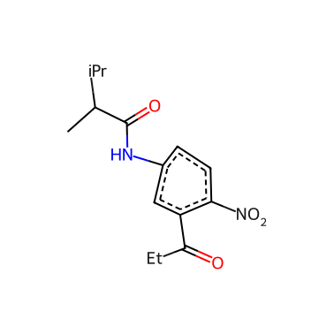 CCC(=O)c1cc(NC(=O)C(C)C(C)C)ccc1[N+](=O)[O-]